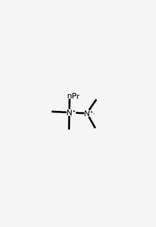 CCC[N+](C)(C)[N+](C)C